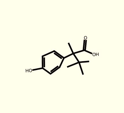 CC(C)(C)C(C)(C(=O)O)c1ccc(O)cc1